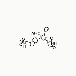 COc1c(-c2ccsc2)cc(-n2ccc(=O)[nH]c2=O)cc1-c1ccc2c(c1)CC=C2CNS(C)(=O)=O